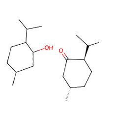 CC(C)[C@H]1CC[C@H](C)CC1=O.CC1CCC(C(C)C)C(O)C1